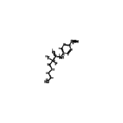 COc1ccc(NC(=O)C(F)(F)CCCCO)cc1